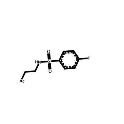 CC(=O)CCNS(=O)(=O)c1ccc(F)cc1